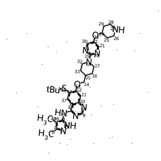 Cc1n[nH]c(Nc2ncnc3cc(OCC4CCN(c5ncc(OC6CCNCC6)cn5)CC4)c(SC(C)(C)C)cc23)c1C